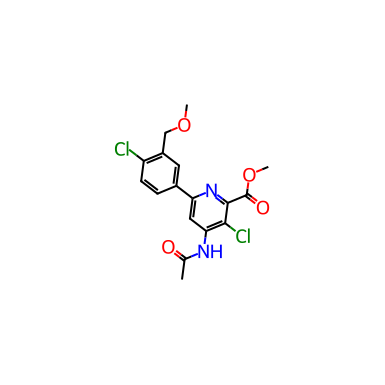 COCc1cc(-c2cc(NC(C)=O)c(Cl)c(C(=O)OC)n2)ccc1Cl